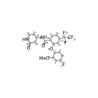 COc1cc(F)ccc1Oc1cc(C(F)(F)C(F)(F)F)ccc1C(=O)Nc1cc[nH]c(=O)c1